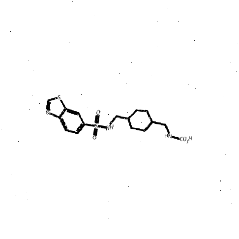 O=C(O)NCC1CCC(CNS(=O)(=O)c2ccc3ncsc3c2)CC1